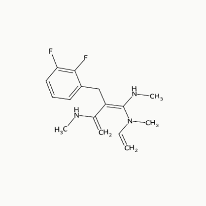 C=CN(C)/C(NC)=C(/Cc1cccc(F)c1F)C(=C)NC